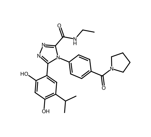 CCNC(=O)c1nnc(-c2cc(C(C)C)c(O)cc2O)n1-c1ccc(C(=O)N2CCCC2)cc1